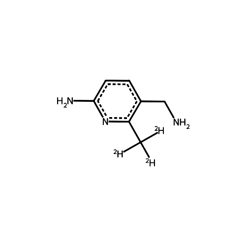 [2H]C([2H])([2H])c1nc(N)ccc1CN